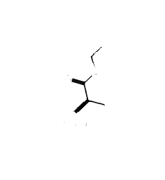 C=C(C)C(=O)OCC.[438CH4]